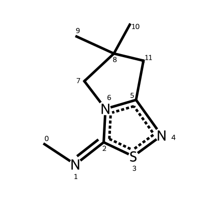 C/N=c1/snc2n1CC(C)(C)C2